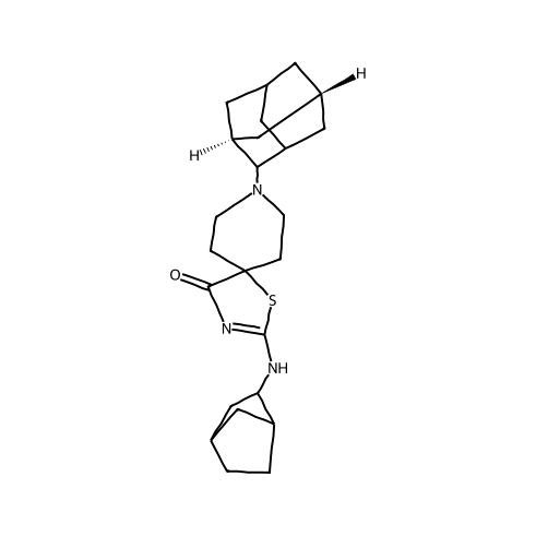 O=C1N=C(NC2CC3CCC2C3)SC12CCN(C1C3CC4C[C@H](C3)C[C@@H]1C4)CC2